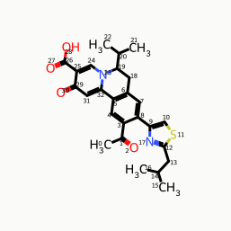 CC(=O)c1cc2c(cc1-c1csc(CC(C)C)n1)CC(C(C)C)n1cc(C(=O)O)c(=O)cc1-2